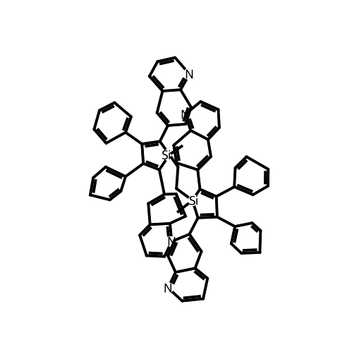 C[Si]1(CC[Si]2(C)C(c3ccc4ncccc4c3)=C(c3ccccc3)C(c3ccccc3)=C2c2ccc3ncccc3c2)C(c2ccc3ncccc3c2)=C(c2ccccc2)C(c2ccccc2)=C1c1ccc2ncccc2c1